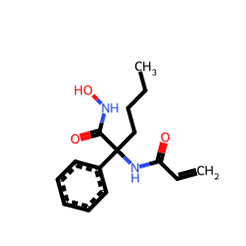 C=CC(=O)NC(CCCC)(C(=O)NO)c1ccccc1